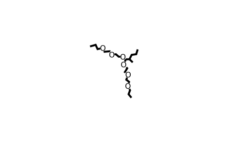 CCCOCCOCCOC(OCCOCCOCCC)C(C)CCC